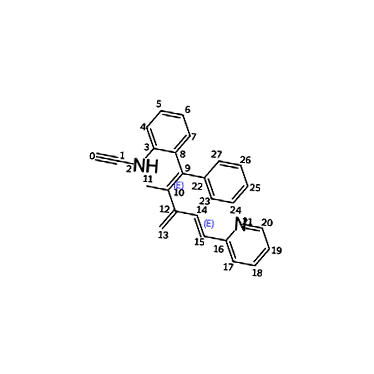 C#CNc1ccccc1/C(=C(\C)C(=C)/C=C/c1ccccn1)c1ccccc1